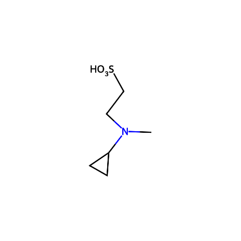 CN(CCS(=O)(=O)O)C1CC1